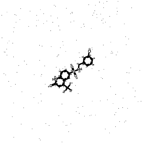 O=c1cc(C(F)(F)F)c2cc(S(=O)(=O)NCc3cccc(Cl)c3)ccc2[nH]1